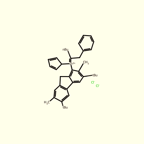 CCCC[C](Cc1ccccc1)=[Zr+2]([c]1c(C)c(C(C)(C)C)cc2c1Cc1cc(C)c(C(C)(C)C)cc1-2)[CH]1C=CC=C1.[Cl-].[Cl-]